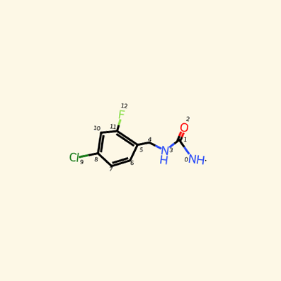 [NH]C(=O)NCc1ccc(Cl)cc1F